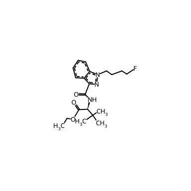 CCOC(=O)[C@@H](NC(=O)c1nn(CCCCF)c2ccccc12)C(C)(C)C